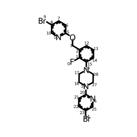 Fc1c(COc2ccc(Br)cn2)cccc1N1CCN(c2ccc(Br)cn2)CC1